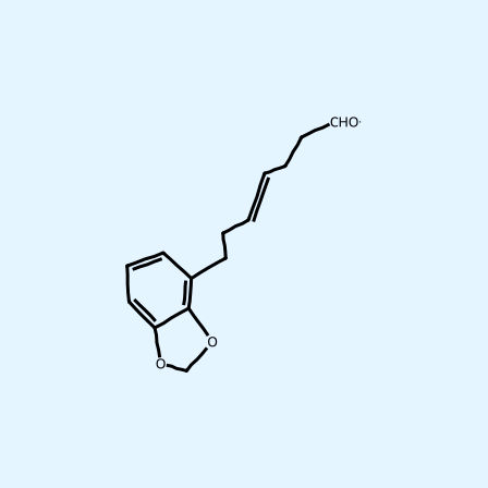 O=[C]CCC=CCCc1cccc2c1OCO2